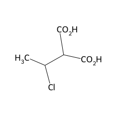 CC(Cl)C(C(=O)O)C(=O)O